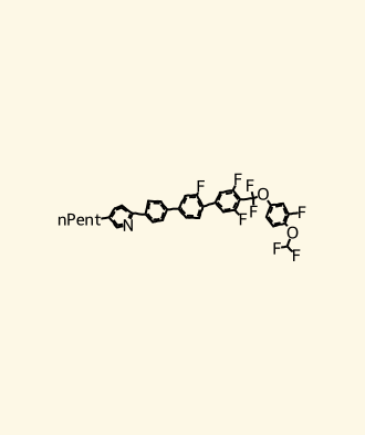 CCCCCc1ccc(-c2ccc(-c3ccc(-c4cc(F)c(C(F)(F)Oc5ccc(OC(F)F)c(F)c5)c(F)c4)c(F)c3)cc2)nc1